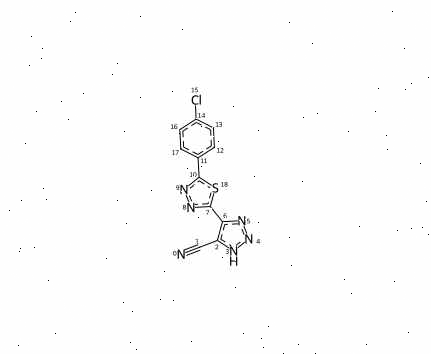 N#Cc1[nH]nnc1-c1nnc(-c2ccc(Cl)cc2)s1